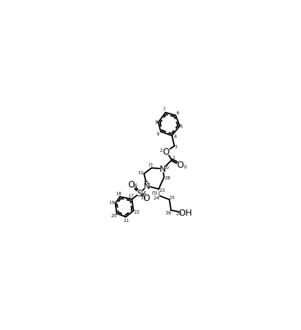 O=C(OCc1ccccc1)N1CCN(S(=O)(=O)c2ccccc2)[C@@H](CCCO)C1